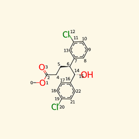 COC(=O)CC[C@@H](c1cccc(Cl)c1)[C@H](O)c1ccc(Cl)cc1